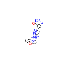 CC(CNc1ccc(-c2cccc(C(N)=O)c2)nn1)N1CCCC1=O